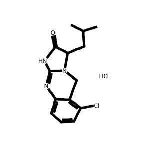 CC(C)CC1C(=O)NC2=Nc3cccc(Cl)c3CN21.Cl